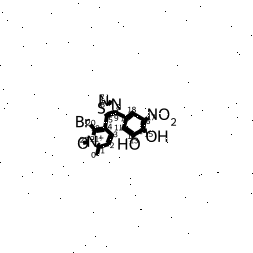 Cc1ccc(-c2snnc2-c2cc(O)c(O)c([N+](=O)[O-])c2)c(Br)[n+]1[O-]